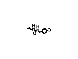 C=CCNC(=O)NCc1ccc(OC)cc1